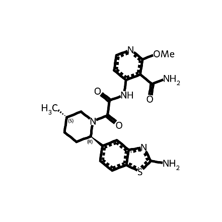 COc1nccc(NC(=O)C(=O)N2C[C@@H](C)CC[C@@H]2c2ccc3sc(N)nc3c2)c1C(N)=O